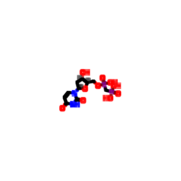 O=c1ccn([C@H]2C[C@H](O)[C@@H](COP(=O)(O)CP(=O)(O)O)O2)c(=O)[nH]1